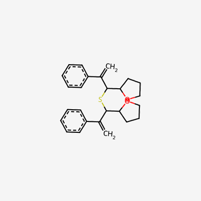 C=C(c1ccccc1)C(SC(C(=C)c1ccccc1)C1CCCO1)C1CCCO1